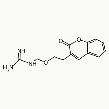 N=C(N)NCOCCc1cc2ccccc2oc1=O